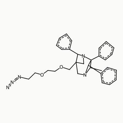 CC1N2CC3(COCCOCCN=[N+]=[N-])CN(C3c3ccccc3)C1(c1ccccc1)C2c1ccccc1